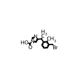 Cc1c(CBr)cccc1C(C)c1cn(C(=O)O)cn1